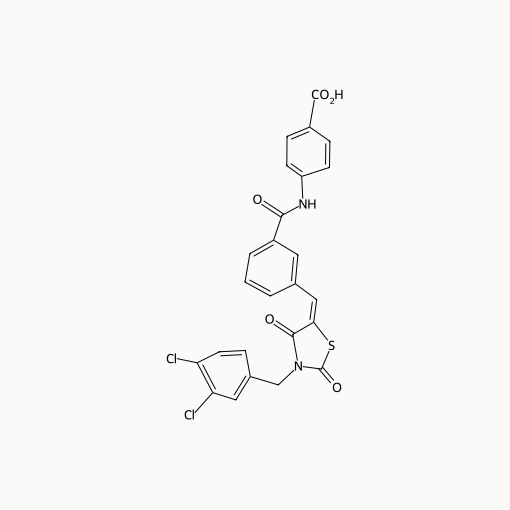 O=C(O)c1ccc(NC(=O)c2cccc(/C=C3/SC(=O)N(Cc4ccc(Cl)c(Cl)c4)C3=O)c2)cc1